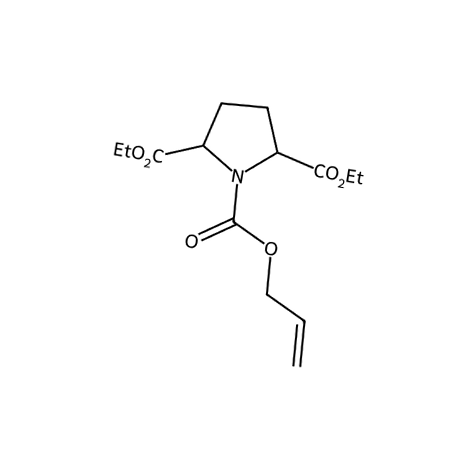 C=CCOC(=O)N1C(C(=O)OCC)CCC1C(=O)OCC